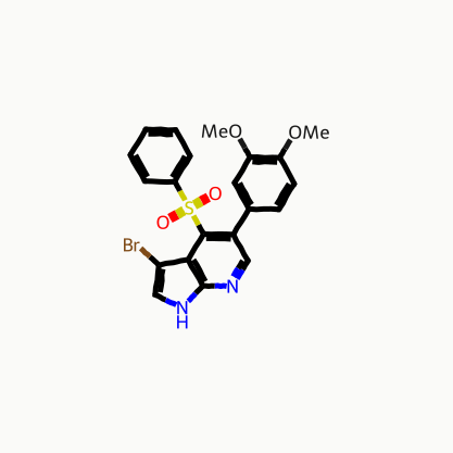 COc1ccc(-c2cnc3[nH]cc(Br)c3c2S(=O)(=O)c2ccccc2)cc1OC